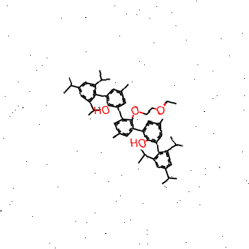 CCOCCOc1c(-c2cc(C)cc(-c3c(C(C)C)cc(C(C)C)cc3C(C)C)c2O)cc(C)cc1-c1cc(C)cc(-c2c(C(C)C)cc(C(C)C)cc2C(C)C)c1O